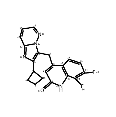 O=c1cc(Cc2c(C3CCC3)nc3cccnn23)c2ccc(F)c(F)c2[nH]1